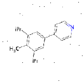 Cc1c(C(C)C)cc(-c2ccncc2)cc1C(C)C